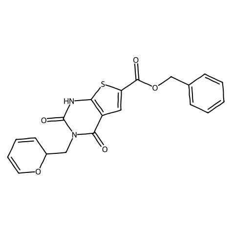 O=C(OCc1ccccc1)c1cc2c(=O)n(CC3C=CC=CO3)c(=O)[nH]c2s1